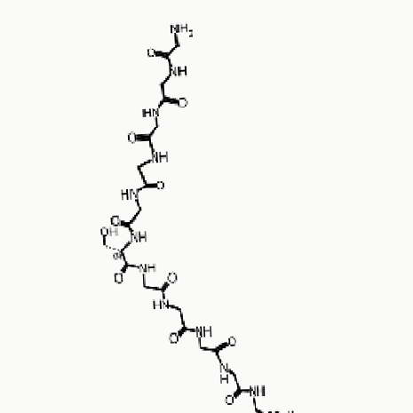 NCC(=O)NCC(=O)NCC(=O)NCC(=O)NCC(=O)N[C@@H](CO)C(=O)NCC(=O)NCC(=O)NCC(=O)NCC(=O)NCC(=O)O